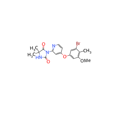 COc1cc(Oc2ccnc(N3C(=O)NC(C)(C)C3=O)c2)cc(Br)c1C